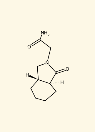 NC(=O)CN1C[C@H]2CCCC[C@@H]2C1=O